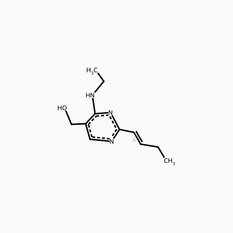 CC/C=C/c1ncc(CO)c(NCC)n1